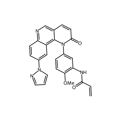 C=CC(=O)Nc1cc(-n2c(=O)ccc3cnc4ccc(-n5cccn5)cc4c32)ccc1OC